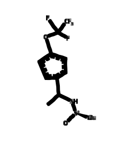 CC(N[S@+]([O-])C(C)(C)C)c1ccc(OC(F)(F)C(F)(F)F)cc1